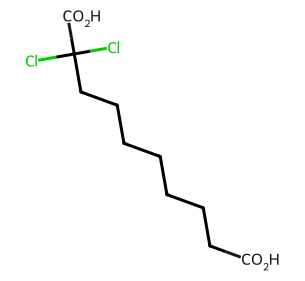 O=C(O)CCCCCCCC(Cl)(Cl)C(=O)O